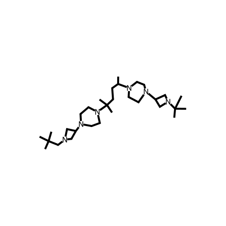 CC(CCC(C)(C)N1CCN(C2CN(CC(C)(C)C)C2)CC1)N1CCN(C2CN(C(C)(C)C)C2)CC1